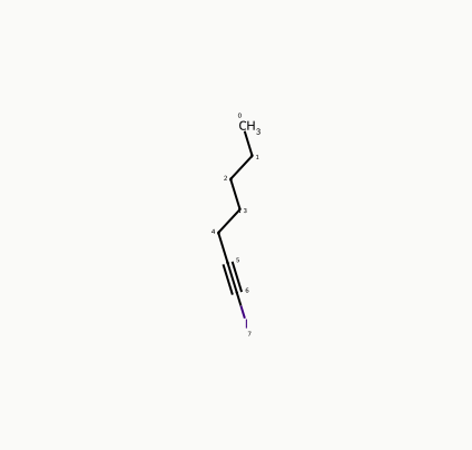 CCC[CH]CC#CI